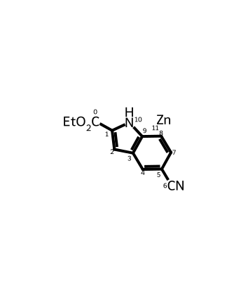 CCOC(=O)c1cc2cc(C#N)ccc2[nH]1.[Zn]